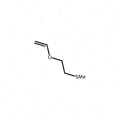 C=COCCSC